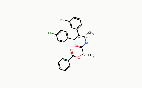 C[C@H](OC(=O)c1ccccc1)C(=O)N[C@@H](C)[C@@H](Cc1ccc(Cl)cc1)c1cccc(C#N)c1